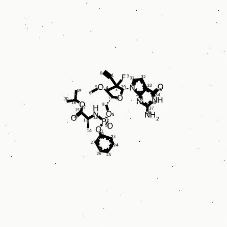 C#CC1(F)[C@@H](OC)[C@@H](COP(=O)(N[C@@H](C)C(=O)OC(C)C)Oc2ccccc2)O[C@H]1n1ccc2c(=O)[nH]c(N)nc21